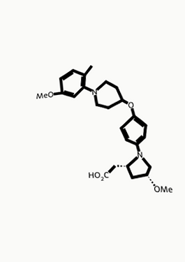 COc1ccc(C)c(N2CCC(Oc3ccc(N4C[C@H](OC)C[C@@H]4CC(=O)O)cc3)CC2)c1